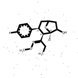 CCC(=NOC)[C@H]1[C@@H](c2ccc(F)cc2)CC2CC(O)[C@@H]1S2